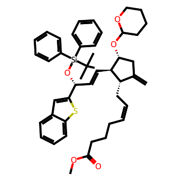 C=C1C[C@@H](OC2CCCCO2)[C@H](/C=C/[C@@H](O[Si](c2ccccc2)(c2ccccc2)C(C)(C)C)c2cc3ccccc3s2)[C@H]1C/C=C\CCCC(=O)OC